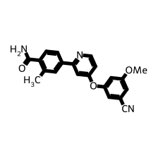 COc1cc(C#N)cc(Oc2ccnc(-c3ccc(C(N)=O)c(C)c3)c2)c1